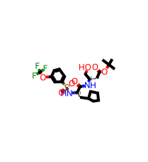 CC(C)(C)OC(=O)C[C@@H](CO)NC(=O)[C@H](CC1CCCC1)NS(=O)(=O)c1cccc(OC(F)(F)F)c1